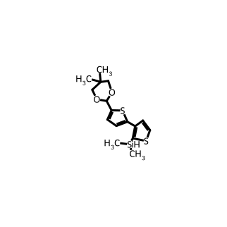 C[SiH](C)c1sccc1-c1ccc(C2OCC(C)(C)CO2)s1